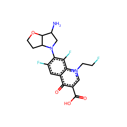 NC1CN(c2c(F)cc3c(=O)c(C(=O)O)cn(CCF)c3c2F)C2CCOC12